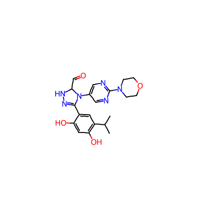 CC(C)c1cc(C2=NNC(C=O)N2c2cnc(N3CCOCC3)nc2)c(O)cc1O